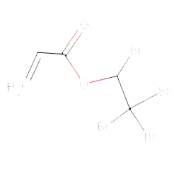 C=CC(=O)OC(Br)C(Br)(Br)Br